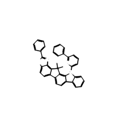 CC1(C)c2c(ccc3oc(-c4ccccc4)nc23)-c2ccc3c4ccccc4n(-c4cccc(-c5ccccc5)n4)c3c21